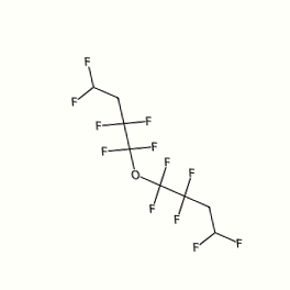 FC(F)CC(F)(F)C(F)(F)OC(F)(F)C(F)(F)CC(F)F